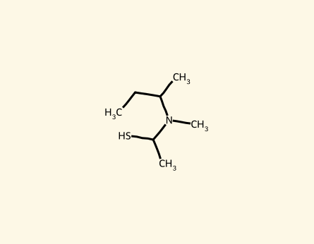 CCC(C)N(C)C(C)S